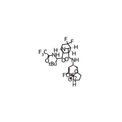 CC(C)(C)[C@@H](NC(=O)C(F)(F)F)C(=O)N1[C@H]2CC[C@@H]([C@H]1C(=O)N[C@H](/C=C(/F)S(C)(=O)=O)C[C@H]1CCNC1=O)C(F)(F)C2